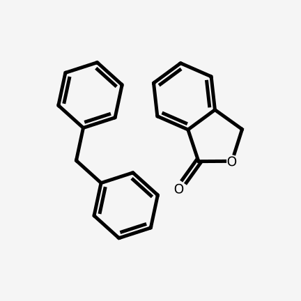 O=C1OCc2ccccc21.c1ccc(Cc2ccccc2)cc1